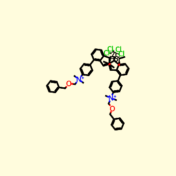 CC1=Cc2c(-c3ccc([N+](C)(C)COCc4ccccc4)cc3)cccc2[CH]1[Zr]([Cl])([Cl])([Cl])([Cl])([CH]1C(C)=Cc2c(-c3ccc([N+](C)(C)COCc4ccccc4)cc3)cccc21)[SiH](C)C